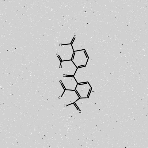 O=C(Cl)c1cccc(C(=O)c2cccc(C(=O)Cl)c2C(=O)Cl)c1C(=O)Cl